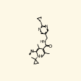 C=N/C(NC1(C)CC1)=C(\C)C(C(=O)NCc1cnc(C2CC2)nc1)=C(C)C